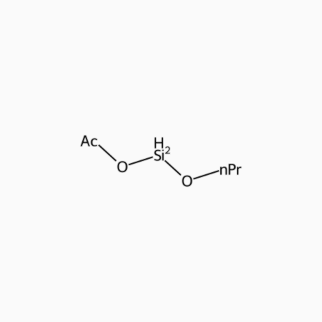 CCCO[SiH2]OC(C)=O